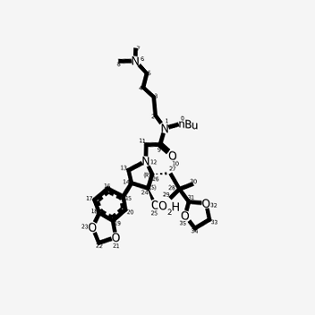 CCCCN(CCCCN(C)C)C(=O)CN1CC(c2ccc3c(c2)OCO3)[C@H](C(=O)O)[C@H]1CC(C)(C)C1OCCO1